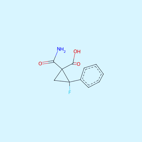 NC(=O)C1(C(=O)O)CC1(F)c1ccccc1